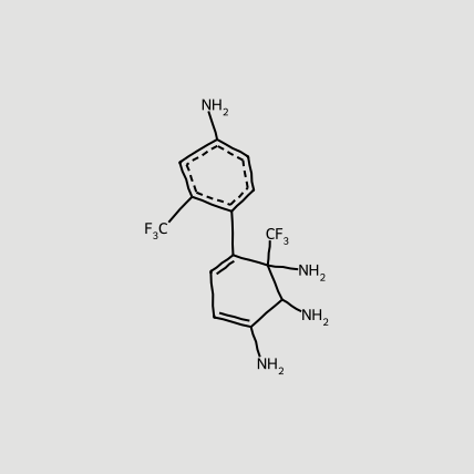 NC1=CC=C(c2ccc(N)cc2C(F)(F)F)C(N)(C(F)(F)F)C1N